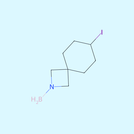 BN1CC2(CCC(I)CC2)C1